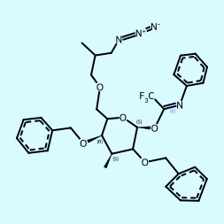 CC(CN=[N+]=[N-])COCC1O[C@@H](O/C(=N/c2ccccc2)C(F)(F)F)C(OCc2ccccc2)[C@@H](C)[C@H]1OCc1ccccc1